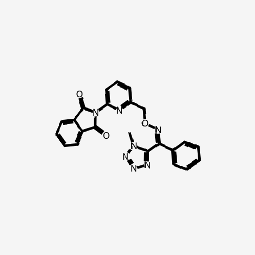 Cn1nnnc1/C(=N\OCc1cccc(N2C(=O)c3ccccc3C2=O)n1)c1ccccc1